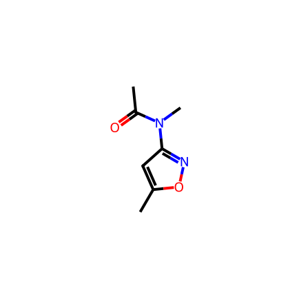 CC(=O)N(C)c1cc(C)on1